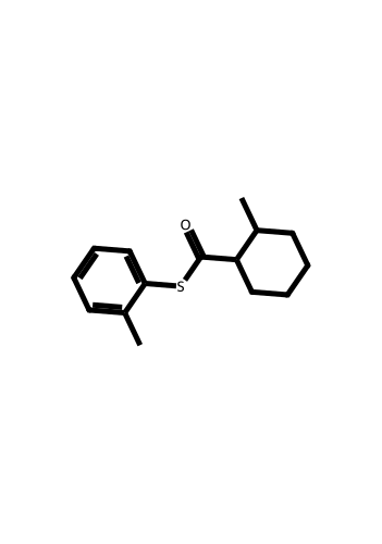 Cc1ccccc1SC(=O)C1CCCCC1C